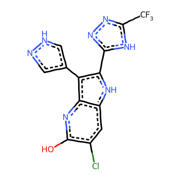 Oc1nc2c(-c3cn[nH]c3)c(-c3nnc(C(F)(F)F)[nH]3)[nH]c2cc1Cl